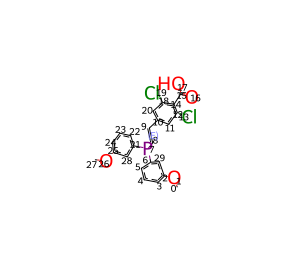 COc1cccc(P(/C=C/c2cc(Cl)c(C(=O)O)c(Cl)c2)c2cccc(OC)c2)c1